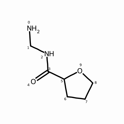 NCNC(=O)C1CCCO1